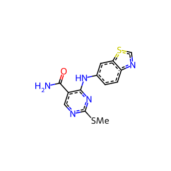 CSc1ncc(C(N)=O)c(Nc2ccc3ncsc3c2)n1